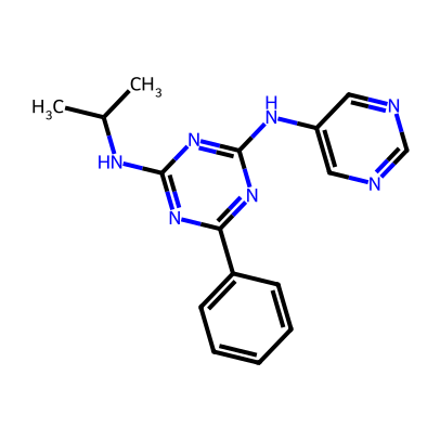 CC(C)Nc1nc(Nc2cncnc2)nc(-c2ccccc2)n1